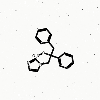 O=[N+]([O-])OC(Cc1ccccc1)(Cn1ccnc1)c1ccccc1